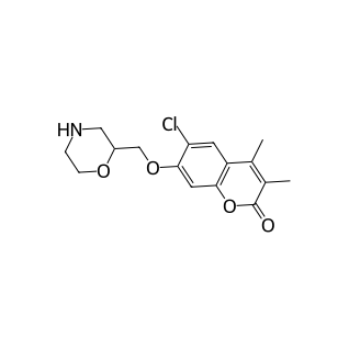 Cc1c(C)c2cc(Cl)c(OCC3CNCCO3)cc2oc1=O